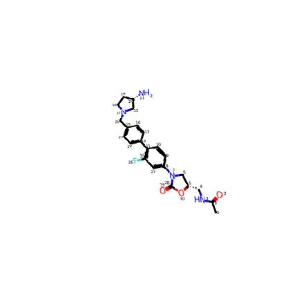 CC(=O)NC[C@H]1CN(c2ccc(-c3ccc(CN4CC[C@H](N)C4)cc3)c(F)c2)C(=O)O1